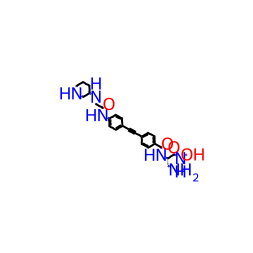 NC[C@H](NC(=O)c1ccc(C#Cc2ccc(NC(=O)CNC3CCCNC3)cc2)cc1)C(=O)NO